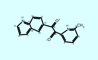 Cc1cccc(C(=O)C(=O)c2ccc3ncccc3c2)n1